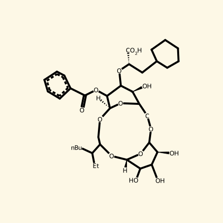 CCCCC(CC)C1CO[C@@H]2OC(COC3O[C@@H](O1)C(O)C(O)[C@@H]3O)[C@H](O)C(O[C@@H](CC1CCCCC1)C(=O)O)C2OC(=O)c1ccccc1